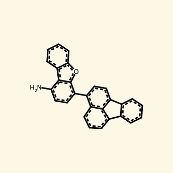 Nc1ccc(-c2ccc3c4c(cccc24)-c2ccccc2-3)c2oc3ccccc3c12